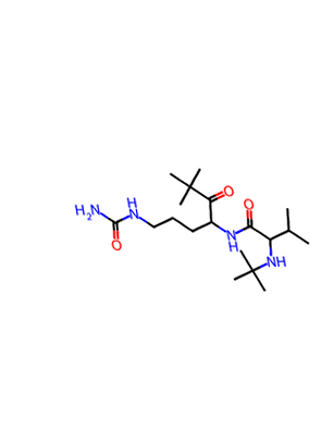 CC(C)C(NC(C)(C)C)C(=O)NC(CCCNC(N)=O)C(=O)C(C)(C)C